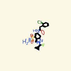 NS(=O)(=O)c1cc(NC(=O)Cc2ccccc2Cl)cc2nn(C(F)C3CC3)cc12